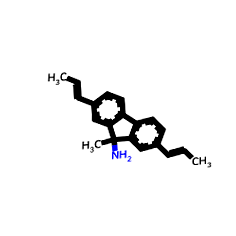 C/C=C/c1ccc2c(c1)C(C)(N)c1cc(/C=C/C)ccc1-2